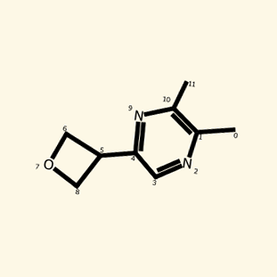 Cc1ncc(C2COC2)nc1C